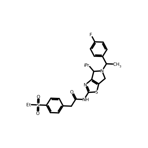 CCS(=O)(=O)c1ccc(CC(=O)Nc2nc3c(s2)CN(C(C)c2ccc(F)cc2)C3C(C)C)cc1